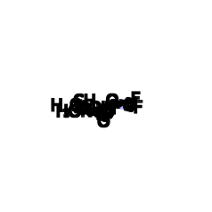 CC1(C)CCN(CC(O)CN2CCN(C(=O)/C=C/c3ccc(F)c(F)c3)CCC2=O)CC1O